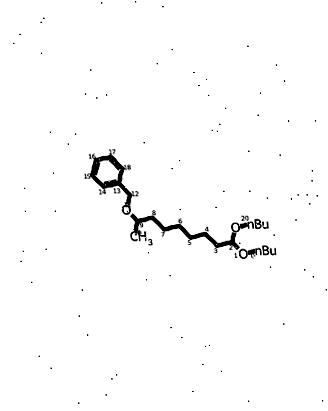 CCCCOC(CCCCCCC(C)OCc1ccccc1)OCCCC